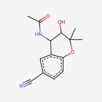 CC(=O)NC1c2cc(C#N)ccc2OC(C)(C)C1O